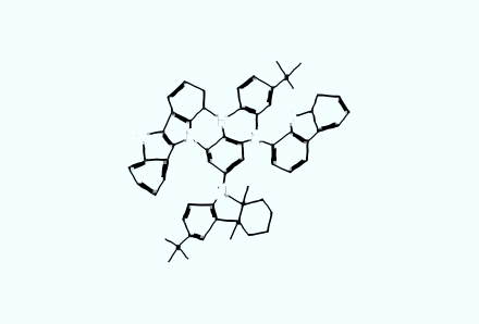 CC(C)(C)c1ccc2c(c1)N(c1cccc3c1SC1CC=CC=C31)c1cc(N3c4ccc(C(C)(C)C)cc4C4(C)CCCCC34C)cc3c1B2C1CC=Cc2c1n-3c1c2oc2ccccc21